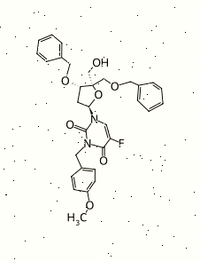 COc1ccc(Cn2c(=O)c(F)cn([C@H]3C[C@H](OCc4ccccc4)[C@@](CO)(COCc4ccccc4)O3)c2=O)cc1